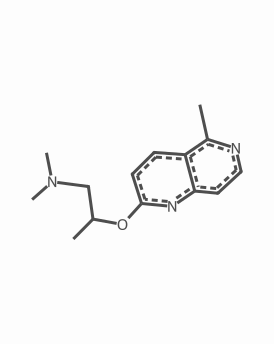 Cc1nccc2nc(OC(C)CN(C)C)ccc12